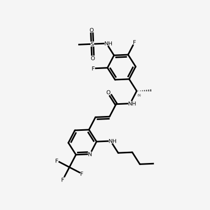 CCCCNc1nc(C(F)(F)F)ccc1C=CC(=O)N[C@@H](C)c1cc(F)c(NS(C)(=O)=O)c(F)c1